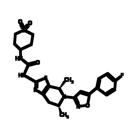 C[C@@H]1Cc2nc(NC(=O)NC3CCS(=O)(=O)CC3)sc2[C@H](C)N1c1cc(-c2ccc(F)cc2)on1